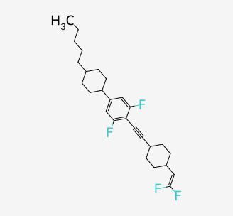 CCCCCC1CCC(c2cc(F)c(C#CC3CCC(C=C(F)F)CC3)c(F)c2)CC1